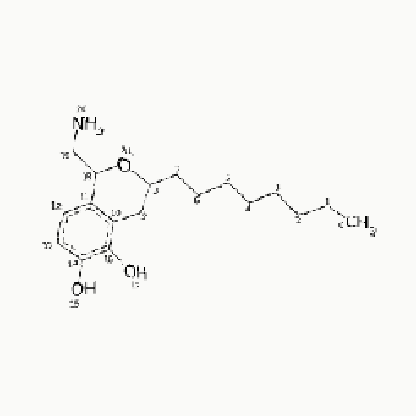 CCCCCCCCC1Cc2c(ccc(O)c2O)C(CN)O1